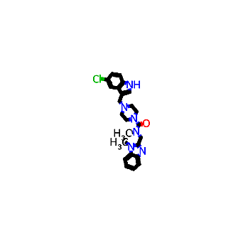 CN(Cc1nc2ccccc2n1C)C(=O)N1CCN(Cc2c[nH]c3ccc(Cl)cc23)CC1